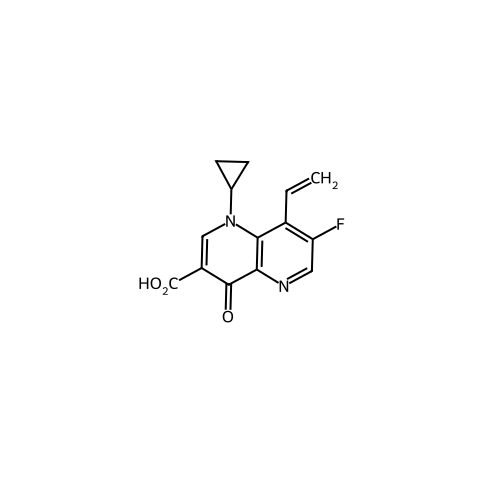 C=Cc1c(F)cnc2c(=O)c(C(=O)O)cn(C3CC3)c12